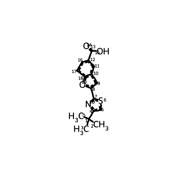 CC(C)(C)c1csc(-c2cc3cc(C(=O)O)ccc3o2)n1